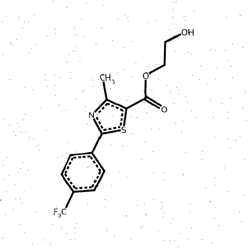 Cc1nc(-c2ccc(C(F)(F)F)cc2)sc1C(=O)OCCO